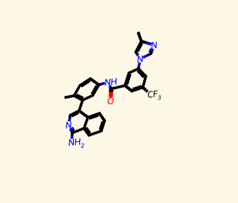 Cc1cn(-c2cc(C(=O)Nc3ccc(C)c(-c4cnc(N)c5ccccc45)c3)cc(C(F)(F)F)c2)cn1